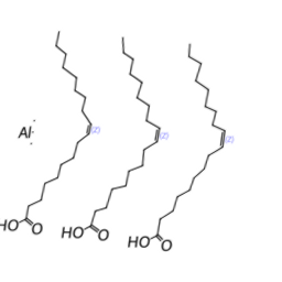 CCCCCCCC/C=C\CCCCCCCC(=O)O.CCCCCCCC/C=C\CCCCCCCC(=O)O.CCCCCCCC/C=C\CCCCCCCC(=O)O.[Al]